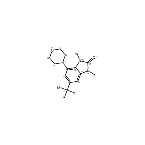 CCC(C)(C)c1cc(N2CCOCC2)c2c(c1)n(C)c(=O)n2C